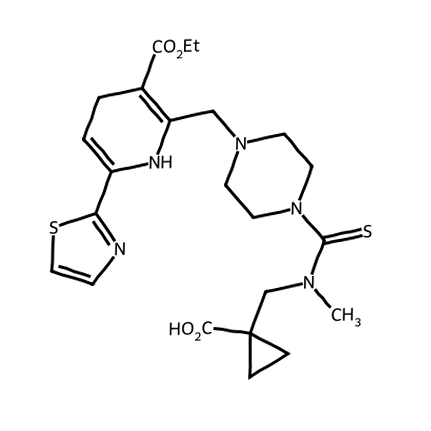 CCOC(=O)C1=C(CN2CCN(C(=S)N(C)CC3(C(=O)O)CC3)CC2)NC(c2nccs2)=CC1